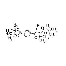 CC(C)(C)OC(=O)N1C(CF)C(c2ccc(B3OC(C)(C)C(C)(C)O3)cc2)OC1(C)C